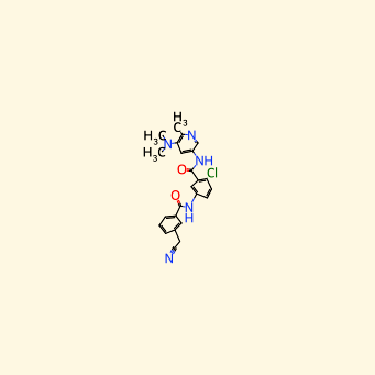 Cc1ncc(NC(=O)c2cc(NC(=O)c3cccc(CC#N)c3)ccc2Cl)cc1N(C)C